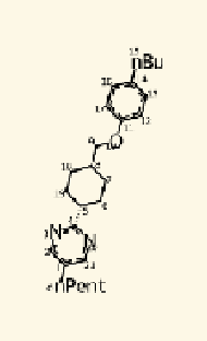 CCCCCc1cnc([C@H]2CC[C@H](COc3ccc(CCCC)cc3)CC2)nc1